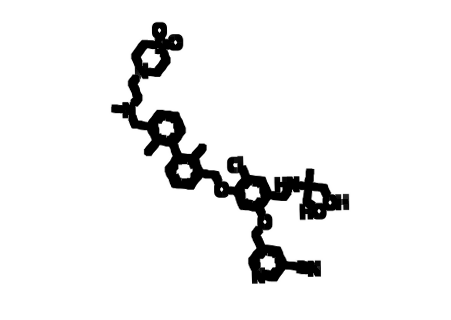 Cc1c(COc2cc(OCc3cncc(C#N)c3)c(CNC(C)(CO)CO)cc2Cl)cccc1-c1cccc(CN(C)CCN2CCS(=O)(=O)CC2)c1C